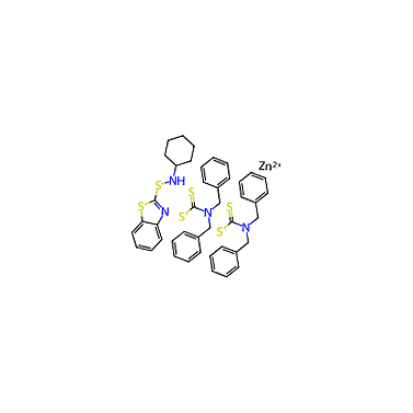 S=C([S-])N(Cc1ccccc1)Cc1ccccc1.S=C([S-])N(Cc1ccccc1)Cc1ccccc1.[Zn+2].c1ccc2sc(SNC3CCCCC3)nc2c1